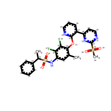 Cc1cc(NS(=O)(=O)C(C)c2ccccc2)c(F)c(F)c1Oc1ncccc1-c1ccnc(S(C)(=O)=O)n1